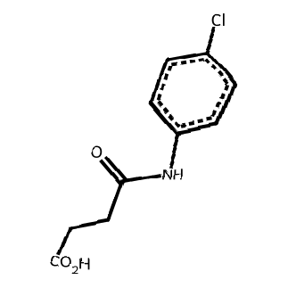 O=C(O)CCC(=O)Nc1ccc(Cl)cc1